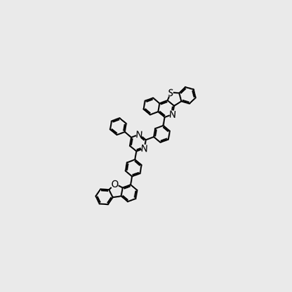 c1ccc(-c2cc(-c3ccc(-c4cccc5c4oc4ccccc45)cc3)nc(-c3cccc(-c4nc5c6ccccc6sc5c5ccccc45)c3)n2)cc1